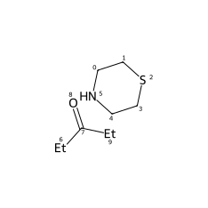 C1CSCCN1.CCC(=O)CC